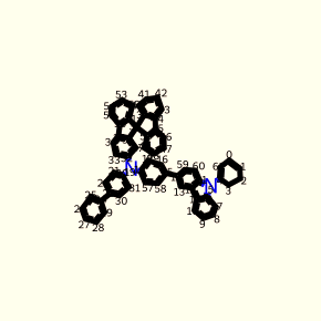 C1=CCCC(n2c3ccccc3c3cc(-c4ccc(N(c5ccc(-c6ccccc6)cc5)c5ccc6c(c5)C5(c7ccccc7-c7ccccc75)c5ccccc5-6)cc4)ccc32)=C1